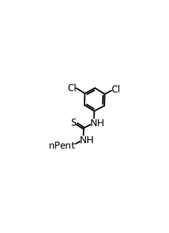 CCCCCNC(=S)Nc1cc(Cl)cc(Cl)c1